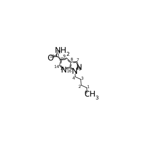 CCCCCn1ncc2cc(C(N)=O)cnc21